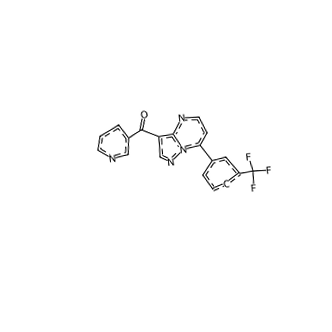 O=C(c1cccnc1)c1cnn2c(-c3cccc(C(F)(F)F)c3)ccnc12